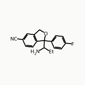 CCC(N)C1(c2ccc(F)cc2)OCc2cc(C#N)ccc21